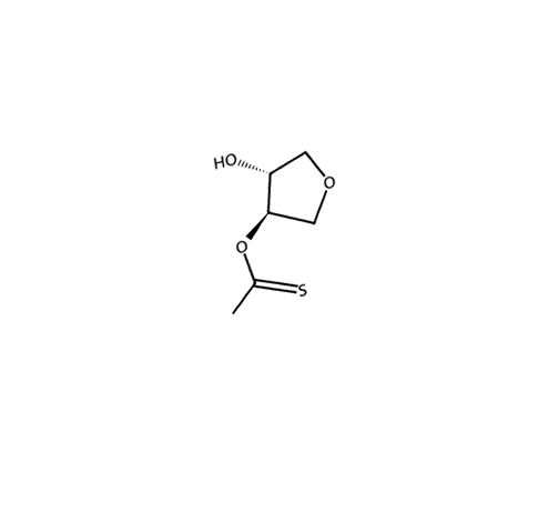 CC(=S)O[C@@H]1COC[C@H]1O